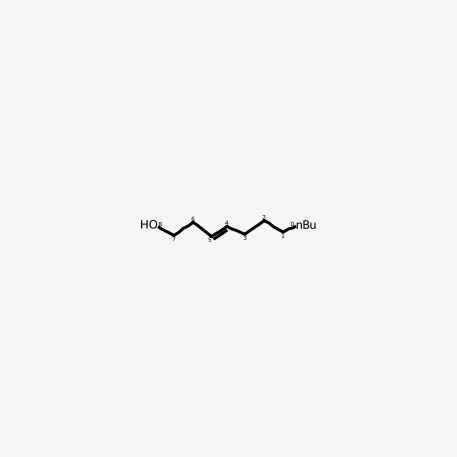 CCCCCCCC=CCCO